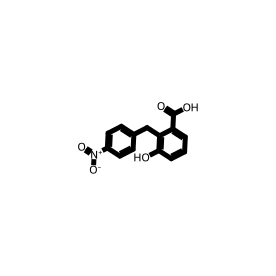 O=C(O)c1cccc(O)c1Cc1ccc([N+](=O)[O-])cc1